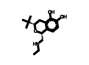 CCNC[C@@H]1O[C@H](C(C)(C)C)Cc2c1ccc(O)c2O